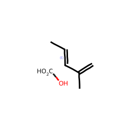 C=C(C)/C=C/C.O=C(O)O